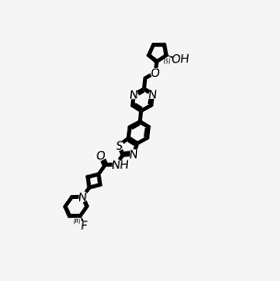 O=C(Nc1nc2ccc(-c3cnc(COC4CCC[C@@H]4O)nc3)cc2s1)C1CC(N2CCC[C@@H](F)C2)C1